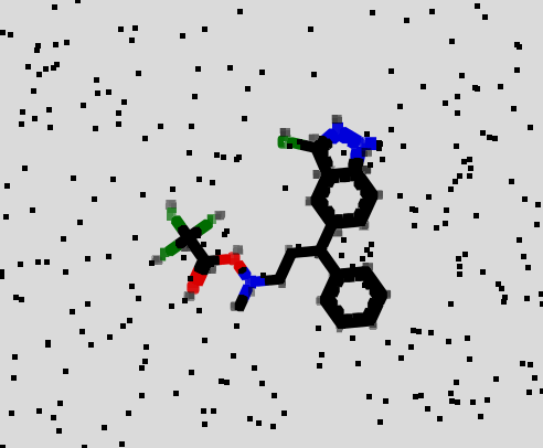 CN(CCC(c1ccccc1)c1ccc2[nH]nc(Cl)c2c1)OC(=O)C(F)(F)F